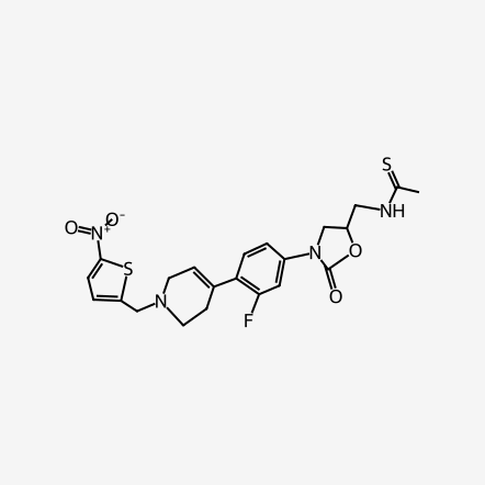 CC(=S)NCC1CN(c2ccc(C3=CCN(Cc4ccc([N+](=O)[O-])s4)CC3)c(F)c2)C(=O)O1